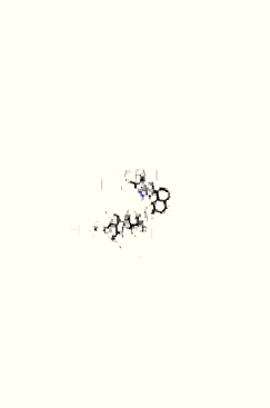 COc1nc(N)nc2c1ncn2C1O[C@H](COc2ccc3ccccc3c2O/[P+]([O-])=N/C(C(=O)O)C(C)C)[C@H](F)[C@@]1(C)O